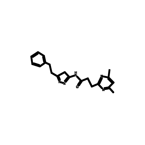 Cc1cc(C)nc(CCC(=O)NC2=NN=C(CCc3ccccc3)C2)n1